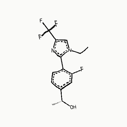 CCn1cc(C(F)(F)F)nc1-c1ccc([C@@H](C)O)cc1F